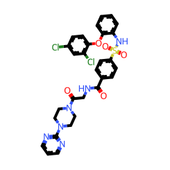 O=C(NCC(=O)N1CCN(c2ncccn2)CC1)c1ccc(S(=O)(=O)Nc2ccccc2Oc2ccc(Cl)cc2Cl)cc1